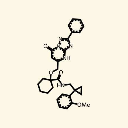 COc1ccccc1C1(CNC(=O)C2(OCc3cc(=O)n4nc(-c5ccccc5)nc4[nH]3)CCCCC2)CC1